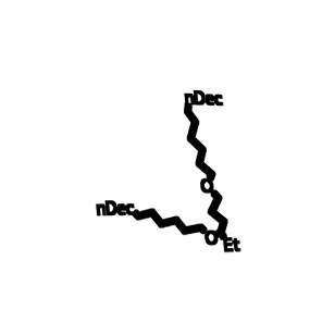 [CH2]CC(CCCOCCCCCCCCCCCCCCCC)OCCCCCCCCCCCCCCCC